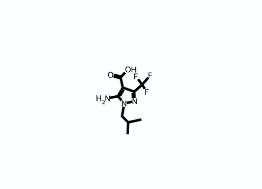 CC(C)Cn1nc(C(F)(F)F)c(C(=O)O)c1N